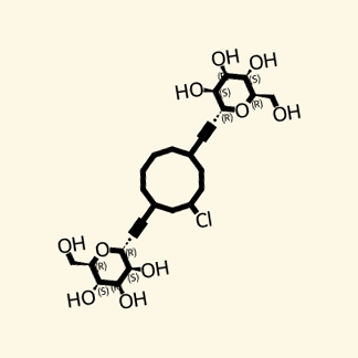 OC[C@H]1O[C@H](C#CC2CCCCC(C#C[C@H]3O[C@H](CO)[C@@H](O)[C@H](O)[C@@H]3O)CC(Cl)CC2)[C@@H](O)[C@@H](O)[C@@H]1O